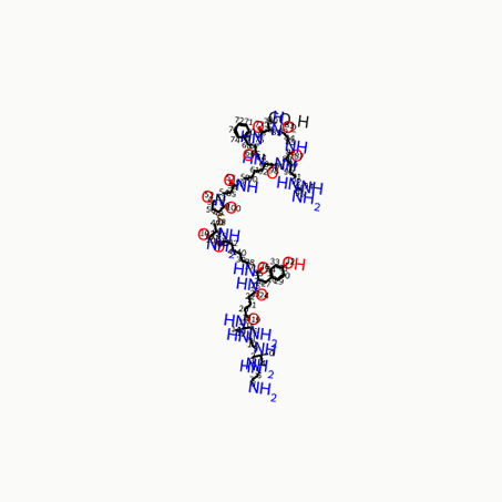 C[C@](CN)(CNCCN)NCCN[C@@](C)(CN)NC(=O)CCCC(=O)NC(Cc1ccc(O)cc1)C(=O)NCCCCCC(=O)NC(CSC1CC(=O)N(CCC(=O)NCCCCC2NC(=O)[C@@H](Cc3ccccc3)NC(=O)C(CC(=O)O)NC(=O)CNC(=O)C(CCCNC(=N)N)NC2=O)C1=O)C(N)=O